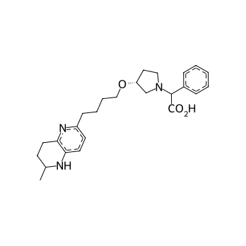 CC1CCc2nc(CCCCO[C@@H]3CCN(C(C(=O)O)c4ccccc4)C3)ccc2N1